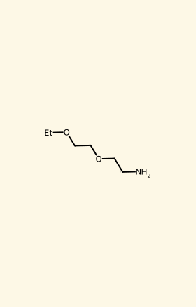 CCOCCOC[CH]N